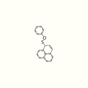 C1=CC(SOc2ccccc2)c2cccc3cccc1c23